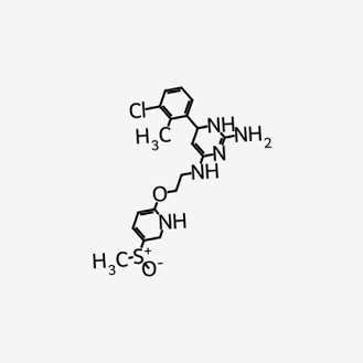 Cc1c(Cl)cccc1C1C=C(NCCOC2=CC=C([S+](C)[O-])CN2)N=C(N)N1